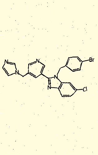 Clc1ccc2nc(-c3cncc(Cn4ccnc4)c3)n(Cc3ccc(Br)cc3)c2c1